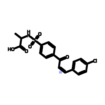 CC(NS(=O)(=O)c1ccc(C(=O)/C=C\c2ccc(Cl)cc2)cc1)C(=O)O